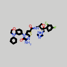 Nc1nc2sc(C(=O)NC[C@H]3CO[C@](Cn4cncn4)(c4ccc(F)cc4F)C3)cc2n(-c2ccc3c(c2)N(c2ccccc2)CCO3)c1=O